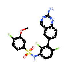 COc1cc(S(=O)(=O)Nc2ccc(F)c(-c3ccc4nc(N)ncc4c3)c2F)ccc1F